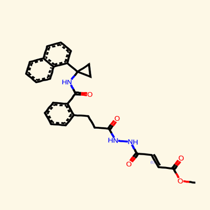 COC(=O)/C=C/C(=O)NNC(=O)CCc1ccccc1C(=O)NC1(c2cccc3ccccc23)CC1